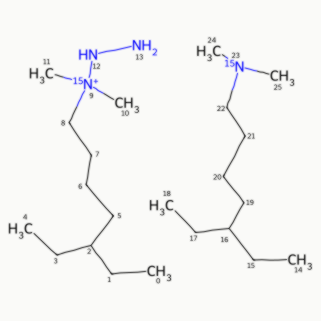 CCC(CC)CCCC[15N+](C)(C)NN.CCC(CC)CCCC[15N](C)C